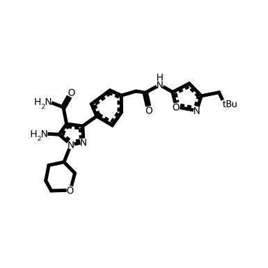 CC(C)(C)Cc1cc(NC(=O)Cc2ccc(-c3nn(C4CCCOC4)c(N)c3C(N)=O)cc2)on1